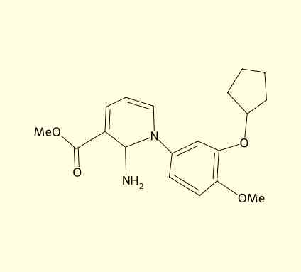 COC(=O)C1=CC=CN(c2ccc(OC)c(OC3CCCC3)c2)C1N